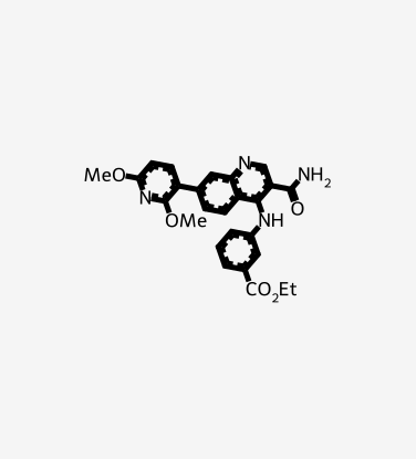 CCOC(=O)c1cccc(Nc2c(C(N)=O)cnc3cc(-c4ccc(OC)nc4OC)ccc23)c1